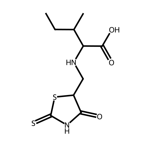 CCC(C)C(NCC1SC(=S)NC1=O)C(=O)O